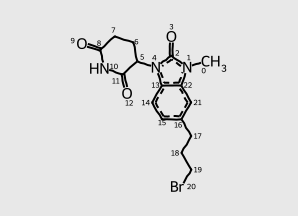 Cn1c(=O)n(C2CCC(=O)NC2=O)c2ccc(CCCBr)cc21